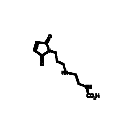 O=C(O)NCCNCCCN1C(=O)C=CC1=O